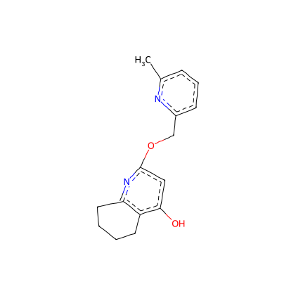 Cc1cccc(COc2cc(O)c3c(n2)CCCC3)n1